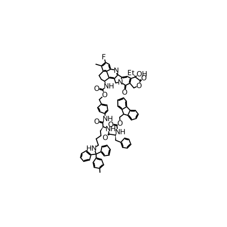 CC[C@@]1(O)C(=O)OCc2c1cc1n(c2=O)Cc2c-1nc1cc(F)c(C)c3c1c2[C@@H](NC(=O)OCc1ccc(NC(=O)[C@H](CCCCNC(c2ccccc2)(c2ccccc2)c2ccc(C)cc2)NC(=O)[C@H](Cc2ccccc2)NC(=O)OCC2c4ccccc4-c4ccccc42)cc1)CC3